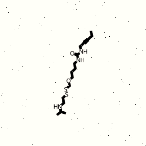 CCC#CCNC(=O)NCCCCOCSSCCNC(C)C